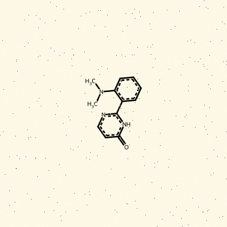 CN(C)c1ccccc1-c1nccc(=O)[nH]1